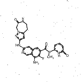 CN(C(=O)c1cc2cc(Nc3cc4n(n3)CC(=O)NCC4)ncc2c(N)c1F)c1cccc(=O)[nH]1